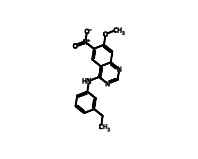 CCc1cccc(Nc2ncnc3cc(OC)c([N+](=O)[O-])cc23)c1